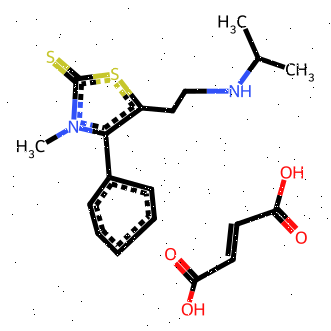 CC(C)NCCc1sc(=S)n(C)c1-c1ccccc1.O=C(O)C=CC(=O)O